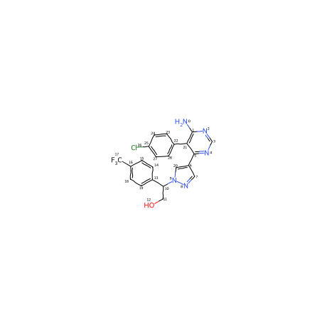 Nc1ncnc(-c2cnn(C(CO)c3ccc(C(F)(F)F)cc3)c2)c1-c1ccc(Cl)cc1